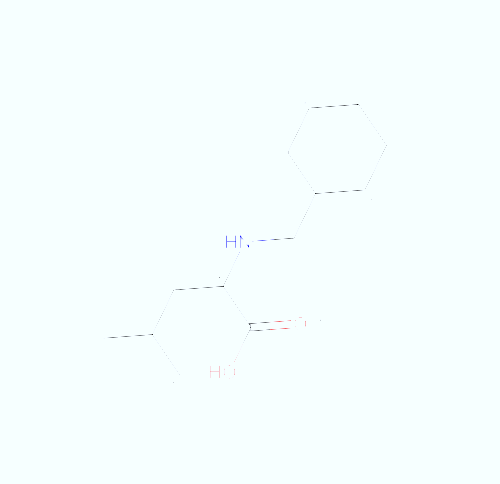 CC(C)CC(NCC1CCCCC1)C(=O)O